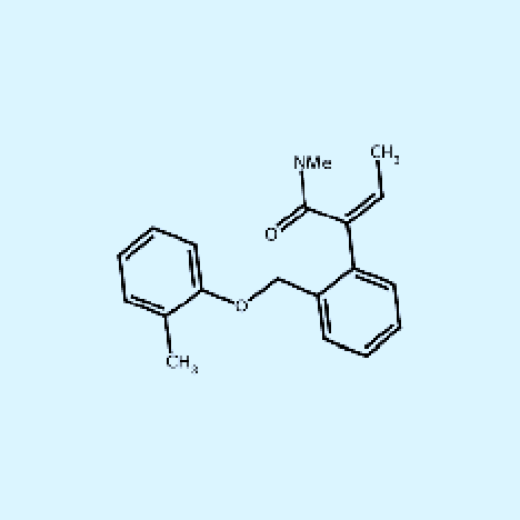 CC=C(C(=O)NC)c1ccccc1COc1ccccc1C